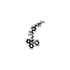 O=C(CNCCOC(=O)N(c1ccccc1-c1ccccc1)N1CC[CH]CC1)c1ccc(CNCCO)cn1